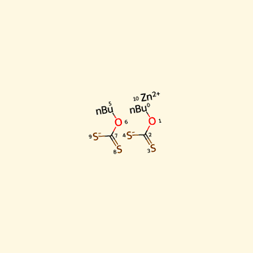 CCCCOC(=S)[S-].CCCCOC(=S)[S-].[Zn+2]